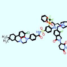 CC1(C)CCC(c2ccc(Cl)cc2)=C(CN2CCN(c3ccc(C(=O)NS(=O)(=O)c4ccc(N[C@H](CCN5C6CCC5CN(Cc5ccc7c(c5F)CN(C5CCC(=O)NC5=O)C7=O)C6)CSc5ccccc5)c(S(=O)(=O)C(F)(F)F)c4)cc3)CC2)C1